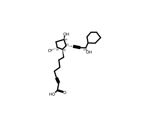 O=C(O)C#CCCCC[C@@H]1[C@@H](C#C[C@@H](O)C2CCCCC2)[C@H](O)C[C@H]1Cl